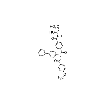 O=C(O)CC(O)NC(=O)c1ccc(C(=O)C(CC(=O)c2ccc(OC(F)(F)F)cc2)c2ccc(-c3ccccc3)cc2)cc1